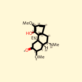 CC[C@@]12CC(=O)C(OC)C[C@@H]1[C@@H](NC)Cc1ccc(OC)c(O)c12